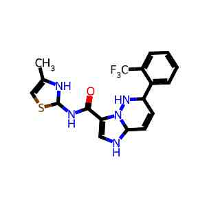 CC1=CSC(NC(=O)C2=CNC3C=CC(c4ccccc4C(F)(F)F)NN23)N1